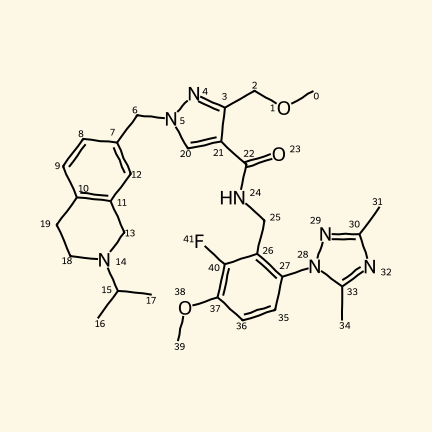 COCc1nn(Cc2ccc3c(c2)CN(C(C)C)CC3)cc1C(=O)NCc1c(-n2nc(C)nc2C)ccc(OC)c1F